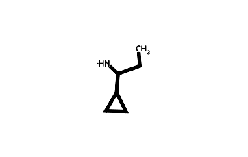 CCC([NH])C1CC1